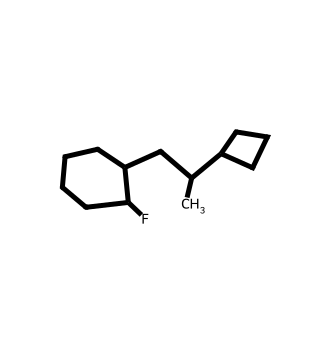 CC(CC1CCCCC1F)C1CCC1